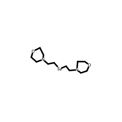 C1CN(CC[Se]CCN2CCOCC2)CCO1